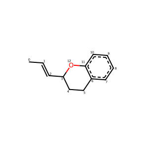 CC=CC1CCc2ccccc2O1